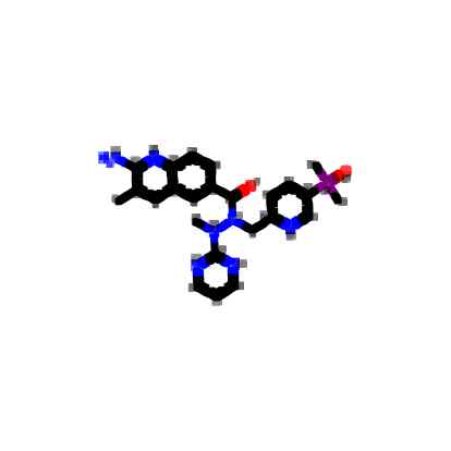 Cc1cc2cc(C(=O)N(Cc3ccc(P(C)(C)=O)cn3)N(C)c3ncccn3)ccc2nc1N